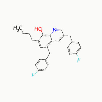 CCCCc1cc(Cc2ccc(F)cc2)c2cc(Cc3ccc(F)cc3)cnc2c1O